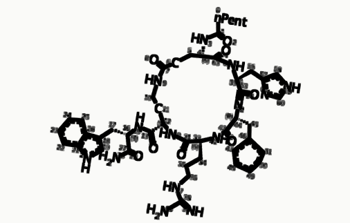 CCCCCC(=O)N[C@H]1CCC(=O)NCC[C@@H](C(=O)N[C@@H](Cc2c[nH]c3ccccc23)C(N)=O)NC(=O)[C@H](CCCNC(=N)N)NC(=O)[C@@H](Cc2ccccc2)NC(=O)[C@H](Cc2c[nH]cn2)NC1=O